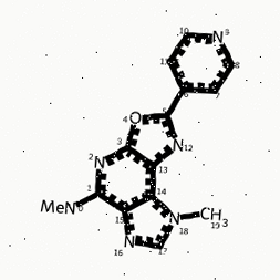 CNc1nc2oc(-c3ccncc3)nc2c2c1ncn2C